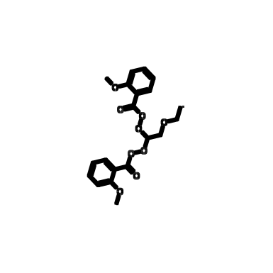 [CH2]COC[C](OOC(=O)c1ccccc1OC)OOC(=O)c1ccccc1OC